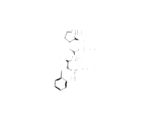 O=C[C@H](C[C@@H]1CCNC1=O)NC(=O)[C@H](Cc1ccccc1)NC(=O)O